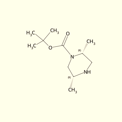 C[C@@H]1CN(C(=O)OC(C)(C)C)[C@H](C)CN1